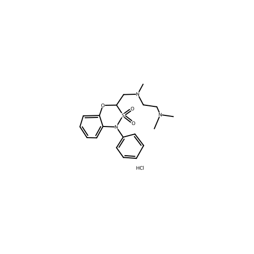 CN(C)CCN(C)CC1Oc2ccccc2N(c2ccccc2)S1(=O)=O.Cl